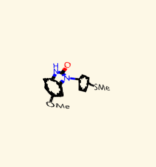 COc1ccc2[nH]c(=O)n(-c3ccc(SC)cc3)c2c1